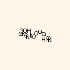 O=C(N1CCN(Cc2ccc3cc(Oc4ccc(-c5ccn[nH]5)cc4)ccc3n2)CC1)C1(O)CC1